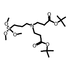 CO[Si](CCCN(CCC(=O)OC(C)(C)C)CCC(=O)OC(C)(C)C)(OC)OC